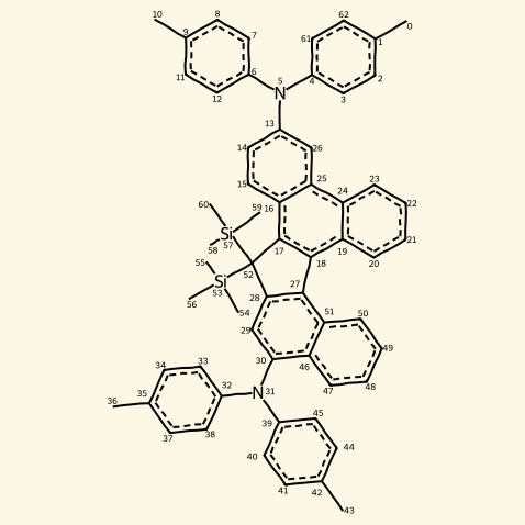 Cc1ccc(N(c2ccc(C)cc2)c2ccc3c4c(c5ccccc5c3c2)-c2c(cc(N(c3ccc(C)cc3)c3ccc(C)cc3)c3ccccc23)C4([Si](C)(C)C)[Si](C)(C)C)cc1